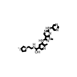 Cc1ncc(C(O)NCCN2CC[C@H](C)C2)cc1Nc1nn(C)c2nc(Nc3cncnc3)ncc12